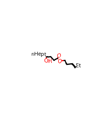 CC/C=C/CCOC(=O)CCC(O)CCCCCCC